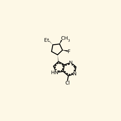 CC[C@H]1C[C@@H](c2c[nH]c3c(Cl)ncnc23)[C@H](F)[C@@H]1C